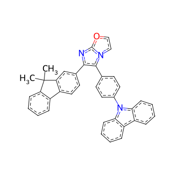 CC1(C)c2ccccc2-c2ccc(-c3nc4occn4c3-c3ccc(-n4c5ccccc5c5ccccc54)cc3)cc21